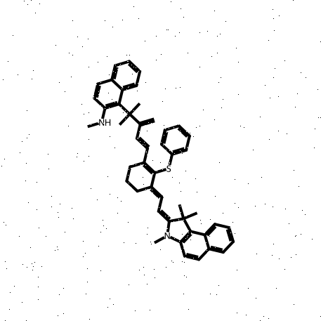 C=C(/C=C/C1=C(Sc2ccccc2)C(=C/C=C2/N(C)c3ccc4ccccc4c3C2(C)C)/CCC1)C(C)(C)c1c(NC)ccc2ccccc12